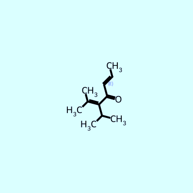 C/C=C/C(=O)C(=C(C)C)C(C)C